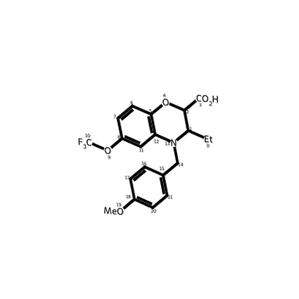 CCC1C(C(=O)O)Oc2ccc(OC(F)(F)F)cc2N1Cc1ccc(OC)cc1